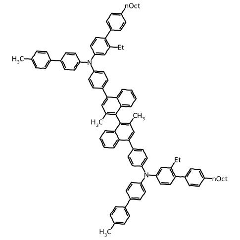 CCCCCCCCc1ccc(-c2ccc(N(c3ccc(-c4ccc(C)cc4)cc3)c3ccc(-c4cc(C)c(-c5c(C)cc(-c6ccc(N(c7ccc(-c8ccc(C)cc8)cc7)c7ccc(-c8ccc(CCCCCCCC)cc8)c(CC)c7)cc6)c6ccccc56)c5ccccc45)cc3)cc2CC)cc1